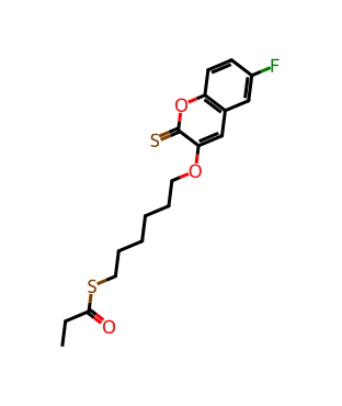 CCC(=O)SCCCCCCOc1cc2cc(F)ccc2oc1=S